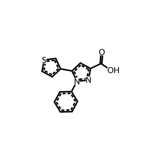 O=C(O)c1cc(-c2ccsc2)n(-c2ccccc2)n1